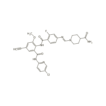 C#Cc1cc(OC)c(NC(=O)c2ccc(N=CN3CCC(C(N)=O)CC3)cc2F)c(C(=O)Nc2ccc(Cl)cn2)c1